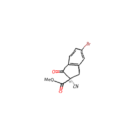 COC(=O)[C@]1(C#N)Cc2cc(Br)ccc2C1=O